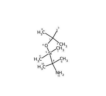 CC(C)(I)O[Si](C)(C)C(C)(C)N